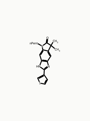 CCCCCN1C(=O)C(C)(C)c2cc3nc(-c4ccsc4)[nH]c3cc21